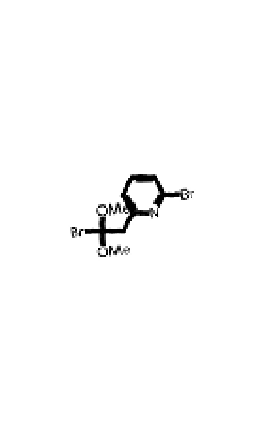 COC(Br)(Cc1cccc(Br)n1)OC